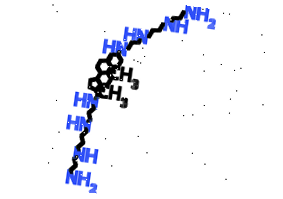 CC12CCC(NCCCNCCCCNCCCN)C=C1CCC1C2CCC2(C)C(CNCCCNCCCCNCCCN)CCC12